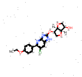 N#CCOc1ccc(-c2nc3nc(O[C@@H]4CO[C@H]5[C@@H]4OC[C@H]5O)[nH]c3cc2Cl)cc1